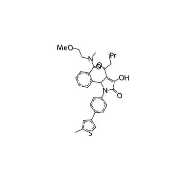 COCCN(C)C(=O)c1ccccc1C1C(C(=O)CC(C)C)=C(O)C(=O)N1c1ccc(-c2csc(C)c2)cc1